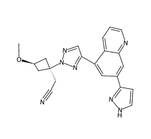 CO[C@H]1C[C@@](CC#N)(n2ncc(-c3cc(-c4cc[nH]n4)cc4ncccc34)n2)C1